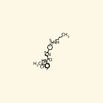 CCCCCNC(=S)N1CCC(c2nc(C(=O)Nc3ccccc3C(C)(C)C)cs2)CC1